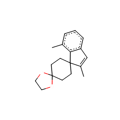 CC1=Cc2cccc(C)c2C12CCC1(CC2)OCCO1